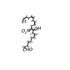 CC/C=C\C/C=C\C/C=C\CC(C(O)C/C=C\CCCCC[C]=O)[N+](=O)[O-]